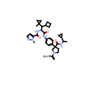 C=C(OC)N1CCC(C(=O)NC(C)C2CC2)(c2ccc(NC(=O)[C@@H](NC(=O)c3ccnn3C)C(C3CCC3)C3(C)CC3)cc2)C1